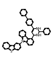 C1=C(c2ccc(-c3ccccc3)cc2)NC(c2ccccc2)NC1c1cccc2c1c1ccccc1n2-c1ccc2sc3ccccc3c2c1